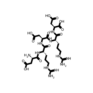 N=C(N)NCCC[C@H](NC(=O)[C@H](CC(=O)O)NC(=O)[C@H](CCCNC(=N)N)NC(=O)[C@@H](N)CC(=O)O)C(=O)N[C@@H](CC(=O)O)C(=O)O